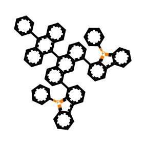 c1ccc(-c2c3ccccc3c(-c3c4cccc(-c5cccc6c7ccccc7p(-c7ccccc7)c56)c4cc4c(-c5cccc6c7ccccc7p(-c7ccccc7)c56)cccc34)c3ccccc23)cc1